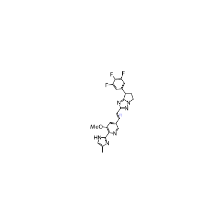 COc1cc(/C=C/c2nc3n(n2)CCC3c2cc(F)c(F)c(F)c2)cnc1-c1nc(C)c[nH]1